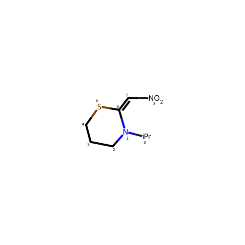 CC(C)N1CCCSC1=C[N+](=O)[O-]